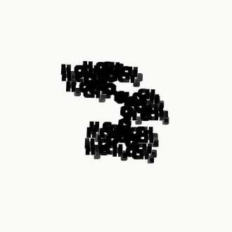 CC(C)(C)c1ccc(OP(Oc2ccc(C(C)(C)C)cc2C(C)(C)C)c2ccc(-c3ccc(P(Oc4ccc(C(C)(C)C)cc4C(C)(C)C)c4ccc(-c5ccc(P(=O)(Oc6ccc(C(C)(C)C)cc6C(C)(C)C)Oc6ccc(C(C)(C)C)cc6C(C)(C)C)cc5)cc4)cc3)cc2)c(C(C)(C)C)c1